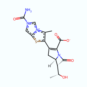 Cc1c(C2=C(C(=O)[O-])N3C(=O)[C@H]([C@@H](C)O)[C@H]3C2)sc2cn(C(N)=O)c[n+]12